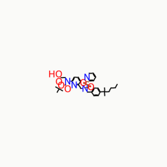 CCCCC(C)(C)c1ccc(CN(Cc2cccc(N(CC(=O)O)C(=O)OC(C)(C)C)n2)S(=O)(=O)c2ccccn2)cc1